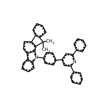 CC1(C)c2ccccc2-c2ccc3c4ccccc4n(-c4ccc(-c5cc(-c6ccccc6)nc(-c6ccccc6)c5)cc4)c3c21